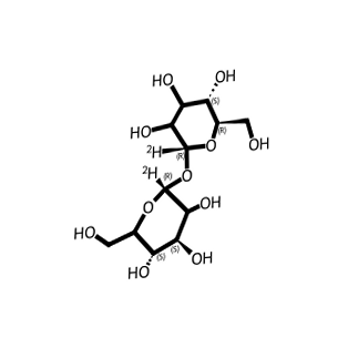 [2H][C@]1(O[C@@]2([2H])OC(CO)[C@@H](O)[C@H](O)C2O)O[C@H](CO)[C@@H](O)C(O)C1O